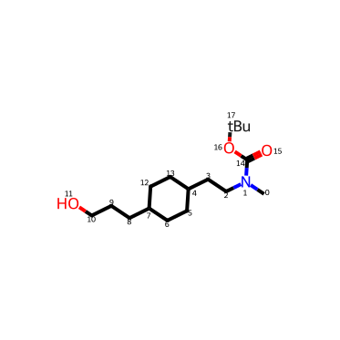 CN(CCC1CCC(CCCO)CC1)C(=O)OC(C)(C)C